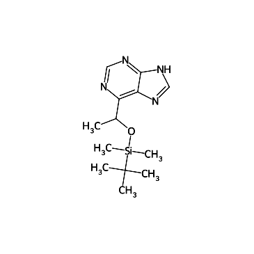 CC(O[Si](C)(C)C(C)(C)C)c1ncnc2[nH]cnc12